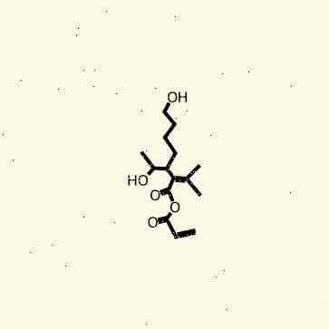 C=CC(=O)OC(=O)C(=C(C)C)C(CCCCO)C(C)O